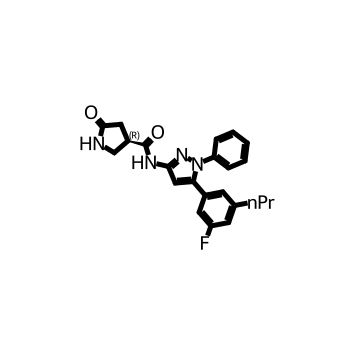 CCCc1cc(F)cc(-c2cc(NC(=O)[C@H]3CNC(=O)C3)nn2-c2ccccc2)c1